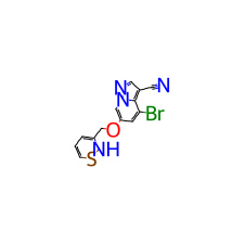 N#Cc1cnn2cc(OCC3=CC=CSN3)cc(Br)c12